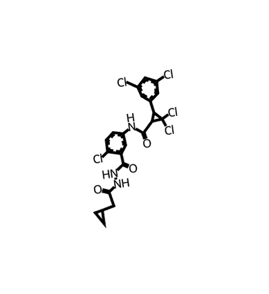 O=C(CC1CC1)NNC(=O)c1cc(NC(=O)C2C(c3cc(Cl)cc(Cl)c3)C2(Cl)Cl)ccc1Cl